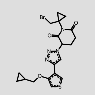 O=C1CCC(n2cc(-c3cscc3OCC3CC3)nn2)C(=O)N1C1(CBr)CC1